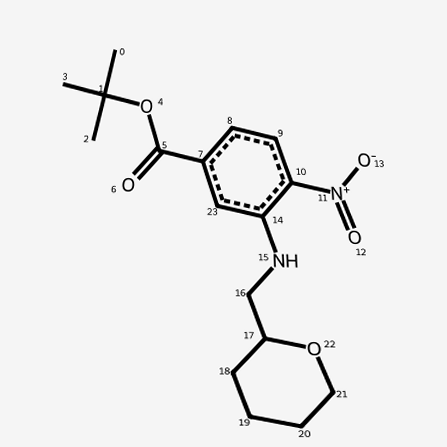 CC(C)(C)OC(=O)c1ccc([N+](=O)[O-])c(NCC2CCCCO2)c1